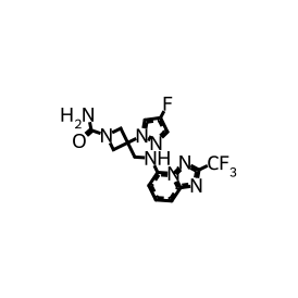 NC(=O)N1CC(CNc2cccc3nc(C(F)(F)F)nn23)(n2cc(F)cn2)C1